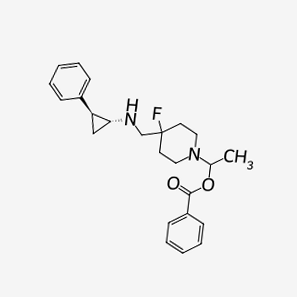 CC(OC(=O)c1ccccc1)N1CCC(F)(CN[C@@H]2C[C@H]2c2ccccc2)CC1